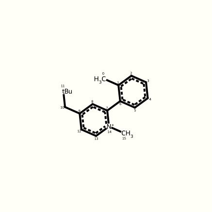 Cc1ccccc1-c1cc(CC(C)(C)C)cc[n+]1C